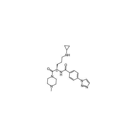 CN1CCN(C(=O)[C@@H](CCCNC2CC2)NC(=O)c2ccc(-n3ccnn3)cc2)CC1